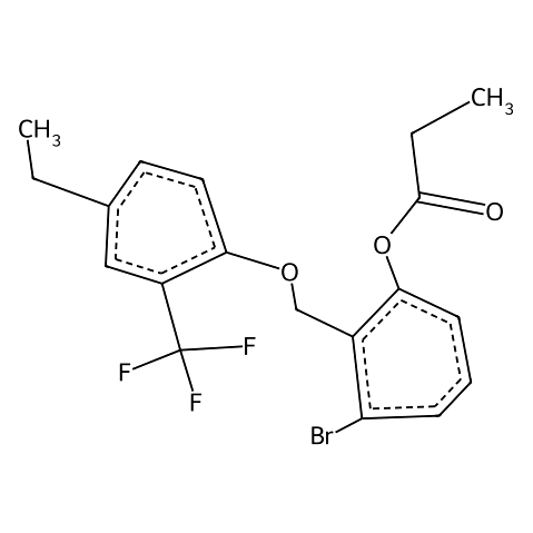 CCC(=O)Oc1cccc(Br)c1COc1ccc(CC)cc1C(F)(F)F